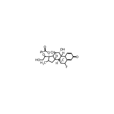 CC(C)C(=O)O[C@@]1(C(=O)CO)C(C)C[C@H]2[C@@H]3CC(F)C4=CC(=O)C=C[C@]4(C)[C@H]3[C@@H](O)C[C@@]21C